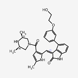 Cc1cc(C(=O)N2C[C@@H](C)N[C@@H](C)C2)c(/C=C2\C(=O)Nc3cccc(-c4cccc(OCCO)c4)c32)[nH]1